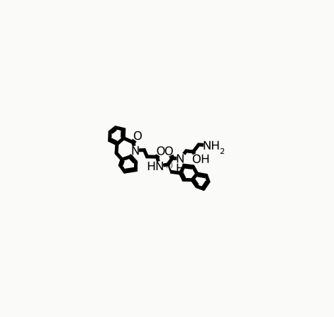 NCC(O)CNC(=O)[C@@H](Cc1ccc2ccccc2c1)NC(=O)CCN1C(=O)c2ccccc2Cc2ccccc21